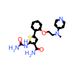 CN(CCOc1ccccc1-c1cc(C(N)=O)c(NC(N)=O)s1)c1ccncc1